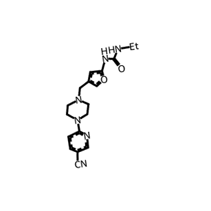 CCNC(=O)Nc1cc(CN2CCN(c3ccc(C#N)cn3)CC2)co1